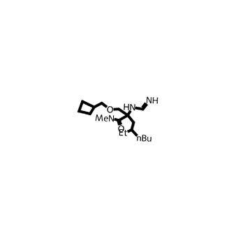 CCCCC(CC)CC(COCC1CCC1)(NC=N)C(=O)NC